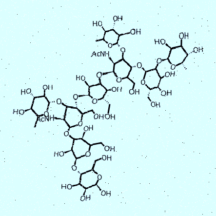 CC(=O)N[C@H]1C(O[C@@H]2OC(C)[C@@H](O)[C@H](O)C2O)[C@H](O[C@@H]2O[C@@H](CO)[C@H](O)C(O)C2O[C@@H]2O[C@@H](C)[C@@H](O)C(O)C2O)C(CO)O[C@H]1OC1C(O)[C@H](O[C@@H]2C(CO)O[C@@H](OC3[C@@H](O)C(CO)O[C@@H](O[C@@H]4C(CO)O[C@@H](O)[C@@H](O)C4O)[C@H]3O)[C@@H](NC(C)=O)C2O[C@@H]2OC(C)[C@@H](O)[C@H](O)C2O)O[C@@H](CO)[C@@H]1O